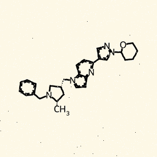 C[C@H]1C[C@@H](Cn2ccc3nc(-c4cnn(C5CCCCO5)c4)ccc32)CN1Cc1ccccc1